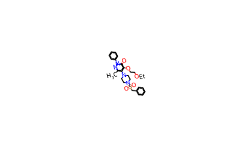 CCOCCOc1c(N2CCN(S(=O)(=O)Cc3ccccc3)CC2)c(C)nn(-c2ccccc2)c1=O